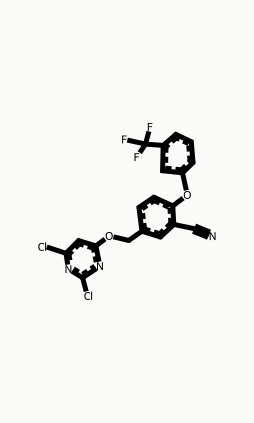 N#Cc1cc(COc2cc(Cl)nc(Cl)n2)ccc1Oc1cccc(C(F)(F)F)c1